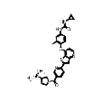 CN(C)C1CCN(C(=O)c2ccc(-c3cc4nccc(Oc5ccc(NC(=O)NC6CC6)cc5F)c4s3)nc2)C1